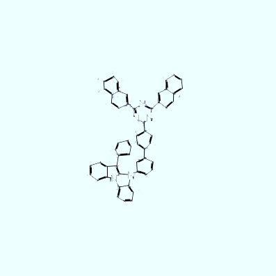 c1ccc(-c2c3ccccc3n3c4ccccc4n(-c4cccc(-c5ccc(-c6nc(-c7ccc8ccccc8c7)nc(-c7ccc8ccccc8c7)n6)cc5)c4)c23)cc1